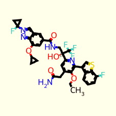 CCOc1c(CC(N)=O)cc([C@@](O)(CNC(=O)c2cc(OC3CC3)c3nn(C4(F)CC4)cc3c2)C(F)(F)F)nc1-c1csc2c(F)cccc12